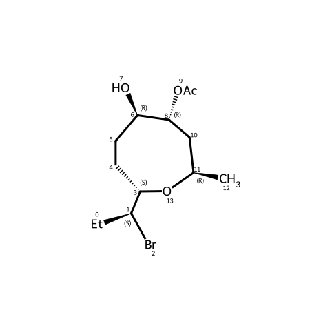 CC[C@H](Br)[C@@H]1CC[C@@H](O)[C@H](OC(C)=O)C[C@@H](C)O1